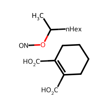 CCCCCCC(C)ON=O.O=C(O)C1=C(C(=O)O)CCCC1